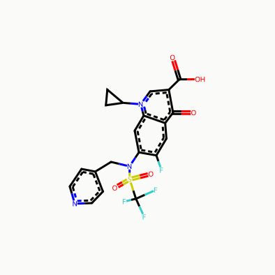 O=C(O)c1cn(C2CC2)c2cc(N(Cc3ccncc3)S(=O)(=O)C(F)(F)F)c(F)cc2c1=O